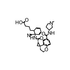 CN1CC[C@H](NC(=O)c2ccc3c(c2)[C@]2(CCO3)C[C@H]2C(=O)NC2(C#N)C=CC=CC2CCCC(=O)O)C1